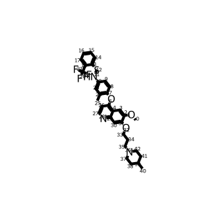 COc1cc2c(Oc3ccc(NSc4ccccc4C(F)(F)F)cc3C)ccnc2cc1OCCCN1CCC(C)CC1